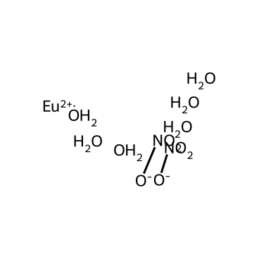 O.O.O.O.O.O.O=[N+]([O-])[O-].O=[N+]([O-])[O-].[Eu+2]